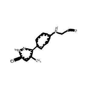 Cc1cc(=O)[nH]nc1-c1ccc(NCI=O)cc1